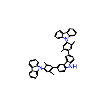 Cc1cc(-n2c3ccccc3c3ccccc32)c(C)cc1-c1ccc2[nH]c3ccc(-c4cc(C)c(-n5c6ccccc6c6ccccc65)cc4C)cc3c2c1